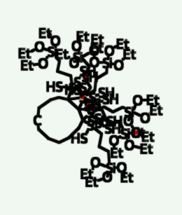 CCO[Si](CCCS(S)(SS)C1(S(S)(CCC[Si](OCC)(OCC)OCC)SS)CCCCCCCCCC(S(S)(CCC[Si](OCC)(OCC)OCC)SS)(S(S)(CCC[Si](OCC)(OCC)OCC)SS)C1(S(S)(CCC[Si](OCC)(OCC)OCC)SS)S(S)(CCC[Si](OCC)(OCC)OCC)SS)(OCC)OCC